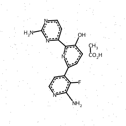 CC(=O)O.Nc1nccc(-c2nc(-c3ccnc(N)c3F)ccc2O)n1